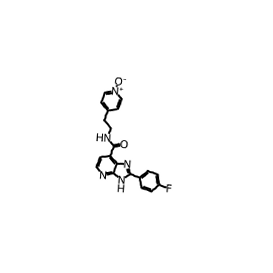 O=C(NCCc1cc[n+]([O-])cc1)c1ccnc2[nH]c(-c3ccc(F)cc3)nc12